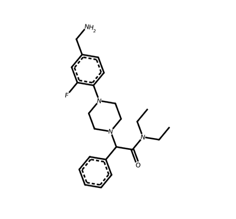 CCN(CC)C(=O)C(c1ccccc1)N1CCN(c2ccc(CN)cc2F)CC1